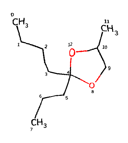 CCCCC1(CCC)OCC(C)O1